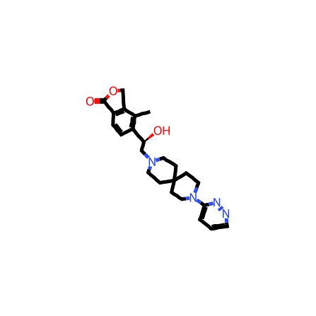 Cc1c([C@@H](O)CN2CCC3(CC2)CCN(c2cccnn2)CC3)ccc2c1COC2=O